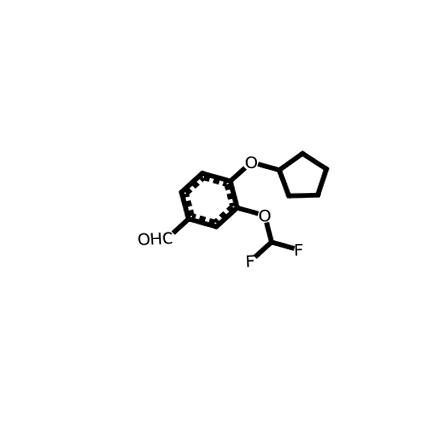 O=Cc1ccc(OC2CCCC2)c(OC(F)F)c1